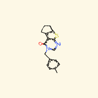 Cc1ccc(Cn2cnc3sc4c(c3c2=O)CCC4)cc1